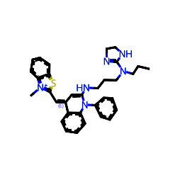 CCCN(CCCNC1=C/C(=C\c2sc3ccccc3[n+]2C)c2ccccc2N1c1ccccc1)C1=NCCN1